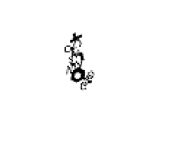 CC(C)(C)OC(=O)N1CCn2c(nc3ccc(S(C)(=O)=O)cc32)S1